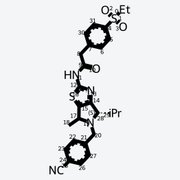 CCS(=O)(=O)c1ccc(CC(=O)Nc2nc3c(s2)C(C)N(Cc2ccc(C#N)cc2)[C@H]3C(C)C)cc1